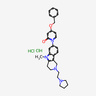 Cl.Cl.Cn1c2c(c3ccc(-n4ccc(OCc5ccccc5)cc4=O)cc31)CN(CCN1CCCC1)CC2